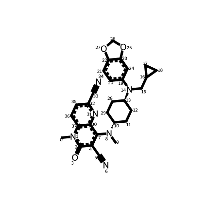 Cn1c(=O)c(C#N)c(N(C)[C@H]2CC[C@H](N(CC3CC3)c3ccc4c(c3)OCO4)CC2)c2nc(C#N)ccc21